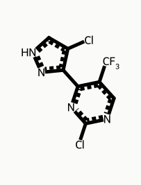 FC(F)(F)c1cnc(Cl)nc1-c1n[nH]cc1Cl